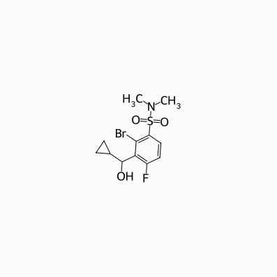 CN(C)S(=O)(=O)c1ccc(F)c(C(O)C2CC2)c1Br